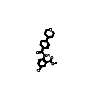 COC(=O)c1cc(Cl)ccc1NC(=O)c1ccc(C2=CCOCC2)cc1